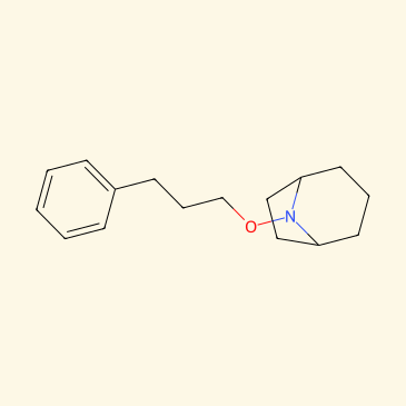 c1ccc(CCCON2C3CCCC2CC3)cc1